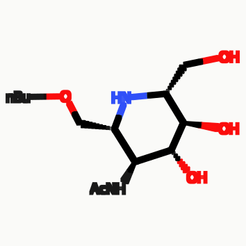 CCCCOC[C@@H]1N[C@H](CO)[C@@H](O)[C@H](O)[C@H]1NC(C)=O